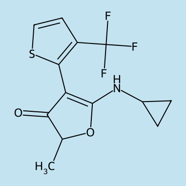 CC1OC(NC2CC2)=C(c2sccc2C(F)(F)F)C1=O